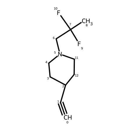 C#CC1CCN(CC(C)(F)F)CC1